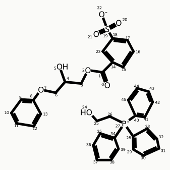 O=C(OCC(O)COc1ccccc1)c1cccc(S(=O)(=O)[O-])c1.OCC[P+](c1ccccc1)(c1ccccc1)c1ccccc1